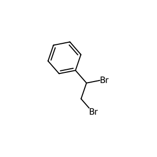 BrCC(Br)c1ccccc1